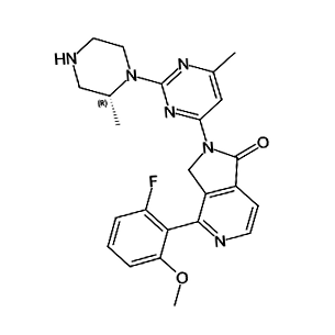 COc1cccc(F)c1-c1nccc2c1CN(c1cc(C)nc(N3CCNC[C@H]3C)n1)C2=O